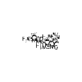 CNC(=O)c1cn2ncnc(N)c2c1-c1ccc(NC(=O)Nc2cccc(C(F)(F)F)n2)cc1